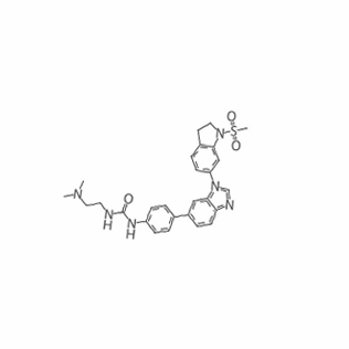 CN(C)CCNC(=O)Nc1ccc(-c2ccc3ncn(-c4ccc5c(c4)N(S(C)(=O)=O)CC5)c3c2)cc1